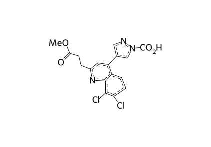 COC(=O)CCc1cc(-c2cnn(C(=O)O)c2)c2ccc(Cl)c(Cl)c2n1